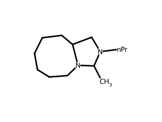 CCCN1CC2CCCCCCN2C1C